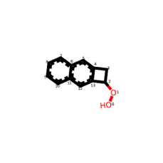 OOC1Cc2cc3ccccc3cc21